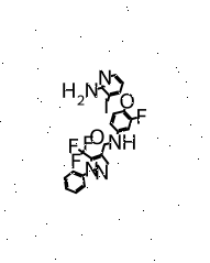 Nc1nccc(Oc2ccc(NC(=O)c3cnn(-c4ccccc4)c3C(F)(F)F)cc2F)c1I